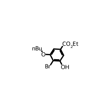 CCCCOc1cc(C(=O)OCC)cc(O)c1Br